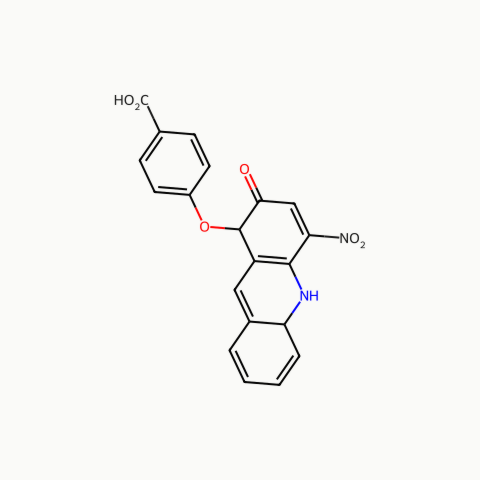 O=C(O)c1ccc(OC2C(=O)C=C([N+](=O)[O-])C3=C2C=C2C=CC=CC2N3)cc1